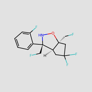 FC[C@]12CC(F)(F)C[C@H]1[C@](CF)(c1ccccc1F)NO2